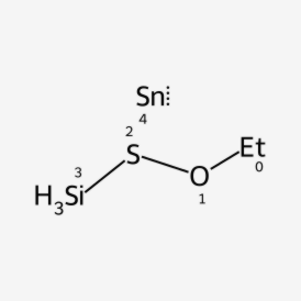 CCOS[SiH3].[Sn]